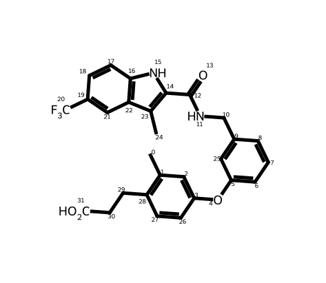 Cc1cc(Oc2cccc(CNC(=O)c3[nH]c4ccc(C(F)(F)F)cc4c3C)c2)ccc1CCC(=O)O